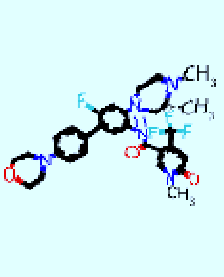 C[C@@H]1CN(c2cc(F)c(-c3ccc(N4CCOCC4)cc3)cc2NC(=O)c2cn(C)c(=O)cc2C(F)(F)F)CCN1C